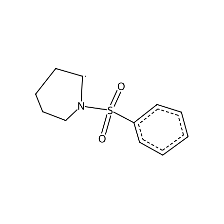 O=S(=O)(c1ccccc1)N1[CH]CCCC1